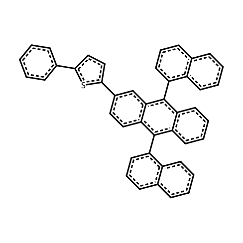 c1ccc(-c2ccc(-c3ccc4c(-c5cccc6ccccc56)c5ccccc5c(-c5cccc6ccccc56)c4c3)s2)cc1